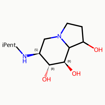 CCCC(C)N[C@H]1CN2CCC(O)C2[C@@H](O)[C@@H]1O